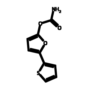 NC(=O)Oc1ccc(-c2cccs2)o1